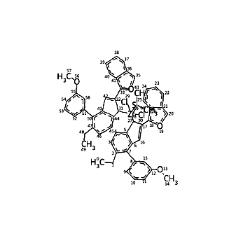 CCc1ccc2c(c1-c1cccc(OC)c1)C=C(c1occ3ccccc13)[CH]2[Zr]([Cl])([Cl])([CH]1C(c2occ3ccccc23)=Cc2c1ccc(CC)c2-c1cccc(OC)c1)=[Si](C)C